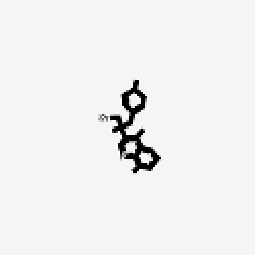 Cc1c(C(C)(CC2=CCC(C)C=C2)CC(C)C)cnc2c(C)cccc12